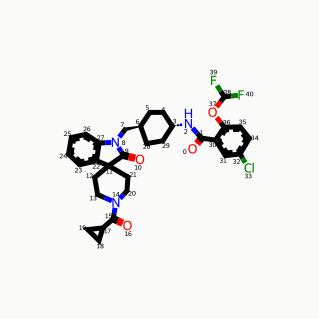 O=C(N[C@H]1CC[C@H](CN2C(=O)C3(CCN(C(=O)C4CC4)CC3)c3ccccc32)CC1)c1cc(Cl)ccc1OC(F)F